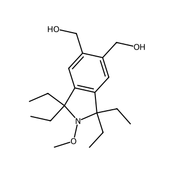 CCC1(CC)c2cc(CO)c(CO)cc2C(CC)(CC)N1OC